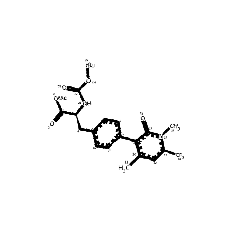 COC(=O)[C@H](Cc1ccc(-c2c(C)cc(C(F)(F)F)n(C)c2=O)cc1)NC(=O)OC(C)(C)C